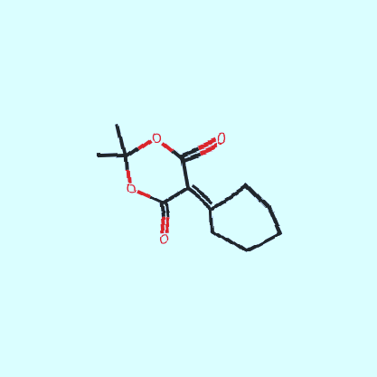 CC1(C)OC(=O)C(=C2CCCCC2)C(=O)O1